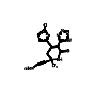 CCCCCCC#CC1(C(F)(F)F)CC(c2ccc(Cl)s2)=C(c2nnn[nH]2)C(=O)N1